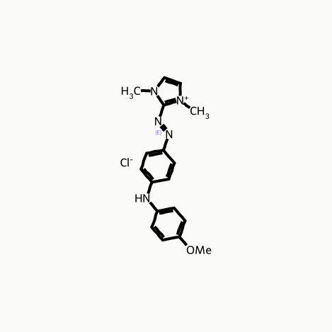 COc1ccc(Nc2ccc(/N=N/c3n(C)cc[n+]3C)cc2)cc1.[Cl-]